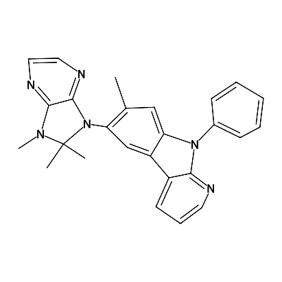 Cc1cc2c(cc1N1c3nccnc3N(C)C1(C)C)c1cccnc1n2-c1ccccc1